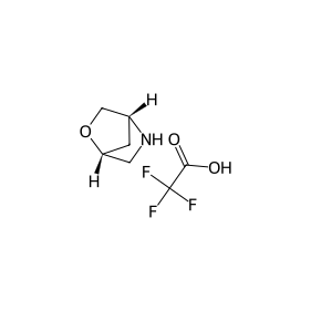 C1O[C@H]2CN[C@@H]1C2.O=C(O)C(F)(F)F